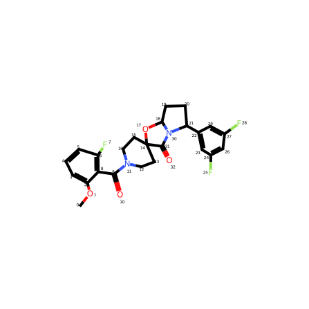 COc1cccc(F)c1C(=O)N1CCC2(CC1)OC1CCC(c3cc(F)cc(F)c3)N1C2=O